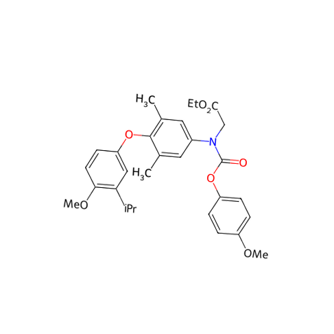 CCOC(=O)CN(C(=O)Oc1ccc(OC)cc1)c1cc(C)c(Oc2ccc(OC)c(C(C)C)c2)c(C)c1